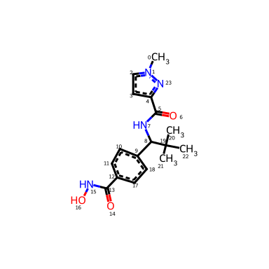 Cn1ccc(C(=O)NC(c2ccc(C(=O)NO)cc2)C(C)(C)C)n1